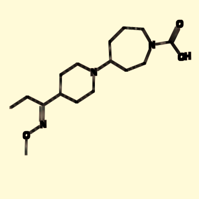 CCC(=NOC)C1CCN(C2CCCN(C(=O)O)CC2)CC1